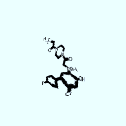 C=CC(=O)N1CCN(C(=O)CNc2cc(-c3ccc(F)cc3)c(Cl)cc2O)CC1